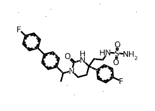 CC(c1ccc(-c2ccc(F)cc2)cc1)N1CCC(CCNS(N)(=O)=O)(c2ccc(F)cc2)NC1=O